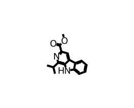 COC(=O)c1cc2c([nH]c3ccccc32)c(C(C)C)n1